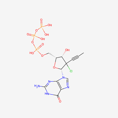 CC#CC1(Cl)[C@@H](O)[C@@H](COP(=O)(O)OP(=O)(O)OP(=O)(O)O)O[C@H]1n1cnc2c(=O)[nH]c(N)nc21